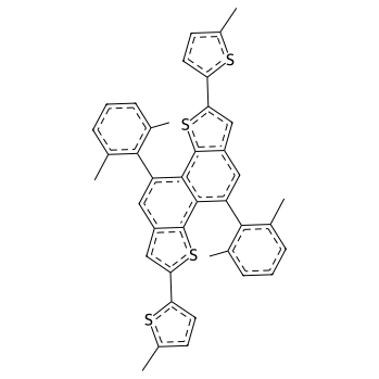 Cc1ccc(-c2cc3cc(-c4c(C)cccc4C)c4c5sc(-c6ccc(C)s6)cc5cc(-c5c(C)cccc5C)c4c3s2)s1